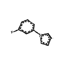 Fc1cccc(-n2c[c]cc2)c1